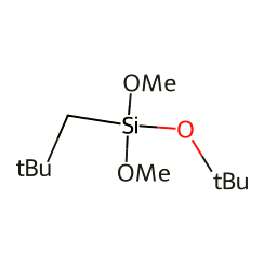 CO[Si](CC(C)(C)C)(OC)OC(C)(C)C